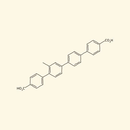 Cc1cc(-c2ccc(-c3ccc(C(=O)O)cc3)cc2)ccc1-c1ccc(C(=O)O)cc1